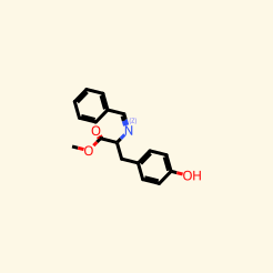 COC(=O)C(Cc1ccc(O)cc1)/N=C\c1ccccc1